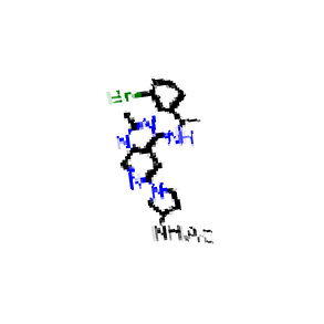 CC(=O)NC1CCN(c2cc3c(N[C@H](C)c4cccc(Br)c4)nc(C)nc3cn2)C1